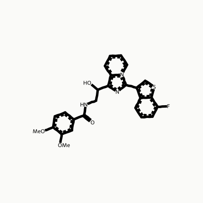 COc1ccc(C(=O)NCC(O)c2nc(-c3csc4c(F)cccc34)n3ccccc23)cc1OC